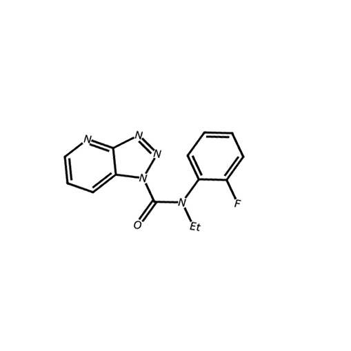 CCN(C(=O)n1nnc2ncccc21)c1ccccc1F